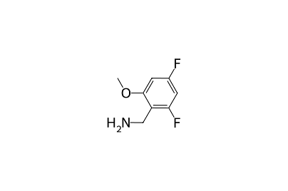 COc1cc(F)cc(F)c1CN